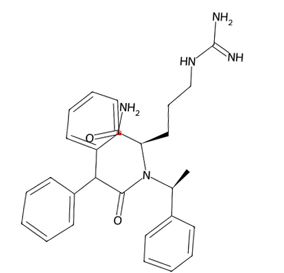 C[C@@H](c1ccccc1)N(C(=O)C(c1ccccc1)c1ccccc1)[C@H](CCCNC(=N)N)C(N)=O